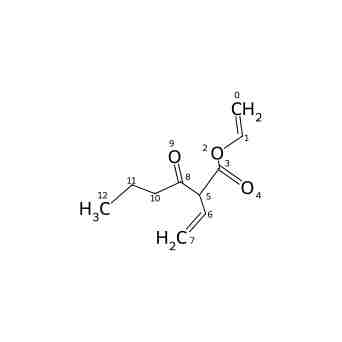 C=COC(=O)C(C=C)C(=O)CCC